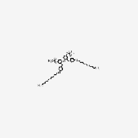 CCCCCCCCCCCCOc1ccc(Cc2cc(OC(C)=O)ccc2Oc2ccc(OC(C)=O)cc2Cc2ccc(OCCCCCCCCCCCC)cc2)cc1